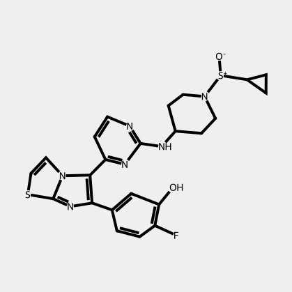 [O-][S+](C1CC1)N1CCC(Nc2nccc(-c3c(-c4ccc(F)c(O)c4)nc4sccn34)n2)CC1